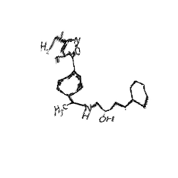 CC(NC[C@@H](O)C[CH]C1CCCCC1)c1ccc(-c2nc(N)no2)cc1